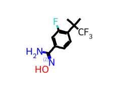 CC(C)(c1ccc(/C(N)=N/O)cc1F)C(F)(F)F